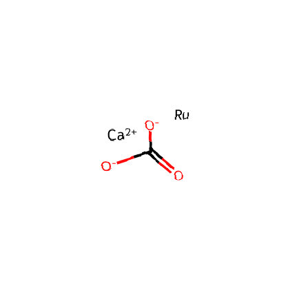 O=C([O-])[O-].[Ca+2].[Ru]